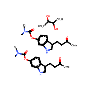 CCN(C)C(=O)Oc1ccc2c(c1)NCC2CCC(=O)OC.CCN(C)C(=O)Oc1ccc2c(c1)NCC2CCC(=O)OC.O=C(O)C(O)C(O)C(=O)O